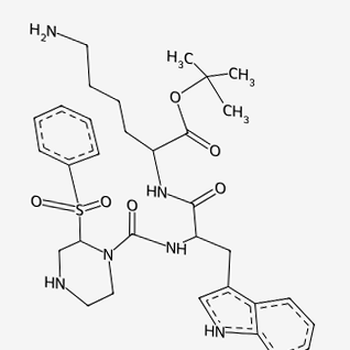 CC(C)(C)OC(=O)C(CCCCN)NC(=O)C(Cc1c[nH]c2ccccc12)NC(=O)N1CCNCC1S(=O)(=O)c1ccccc1